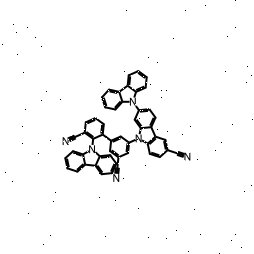 N#Cc1cc(-c2cccc(C#N)c2-n2c3ccccc3c3ccccc32)cc(-n2c3ccc(C#N)cc3c3ccc(-n4c5ccccc5c5ccccc54)cc32)c1